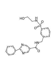 O=C(NCc1cccc(S(=O)(=O)NCCO)c1)c1cnc(-c2ccccc2)nc1